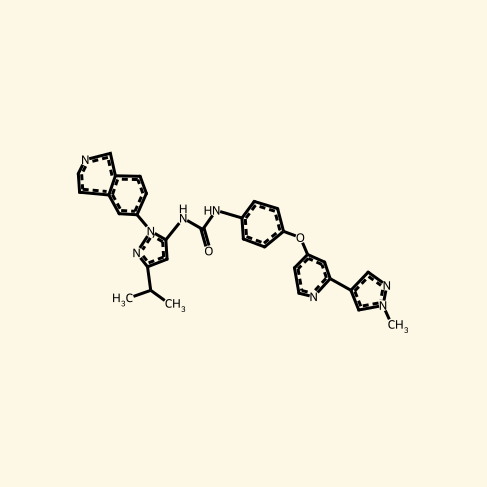 CC(C)c1cc(NC(=O)Nc2ccc(Oc3ccnc(-c4cnn(C)c4)c3)cc2)n(-c2ccc3cnccc3c2)n1